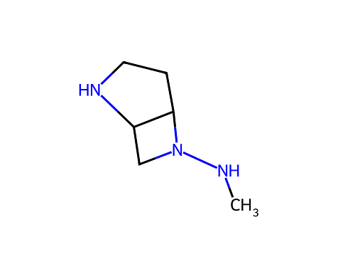 CNN1CC2NCCC21